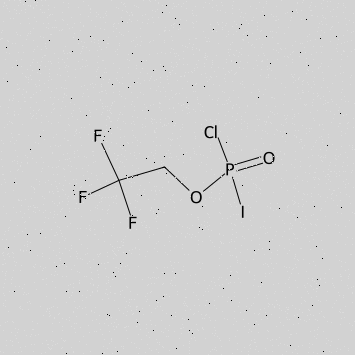 O=P(Cl)(I)OCC(F)(F)F